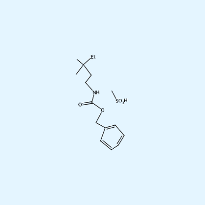 CCC(C)(C)CCNC(=O)OCc1ccccc1.CS(=O)(=O)O